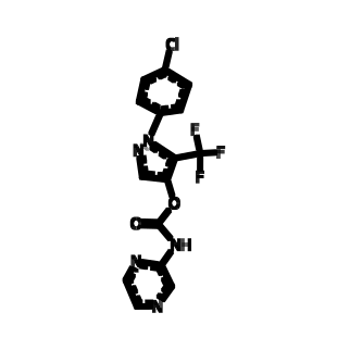 O=C(Nc1cnccn1)Oc1cnn(-c2ccc(Cl)cc2)c1C(F)(F)F